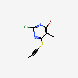 CC#CSc1nc(Cl)nc(Br)c1C